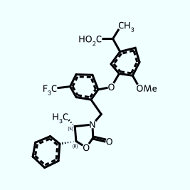 COc1ccc(C(C)C(=O)O)cc1Oc1ccc(C(F)(F)F)cc1CN1C(=O)O[C@H](c2ccccc2)[C@@H]1C